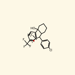 CN(C)C(c1ccc(Cl)cc1)C1CCCCC1(O)c1ccc(C(F)(F)F)cc1